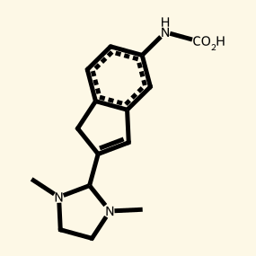 CN1CCN(C)C1C1=Cc2cc(NC(=O)O)ccc2C1